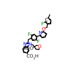 COC1(Cn2c(Cc3cc(F)c(-c4cccc(OCc5ccc(C)cc5F)n4)cc3F)nc3ccc(C(=O)O)cc32)CCOC1